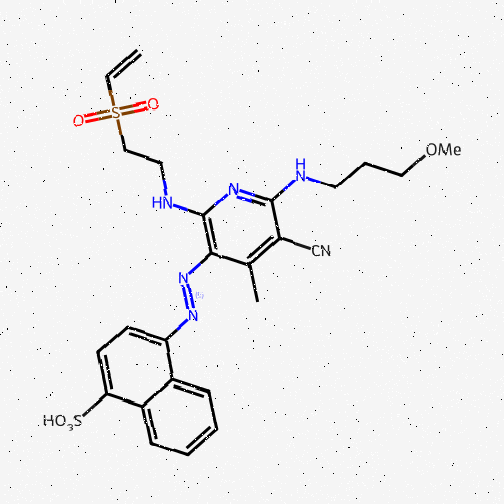 C=CS(=O)(=O)CCNc1nc(NCCCOC)c(C#N)c(C)c1/N=N/c1ccc(S(=O)(=O)O)c2ccccc12